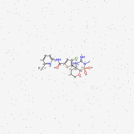 CN1C(=N)N[C@@]2(c3sc(C(=O)Nc4cccc(C(F)(F)F)n4)cc3Cl)CCCOC2S1(=O)=O